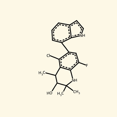 CC1c2c(Cl)c(-c3cccc4cc[nH]c34)cc(F)c2NC(C)(C)C1O